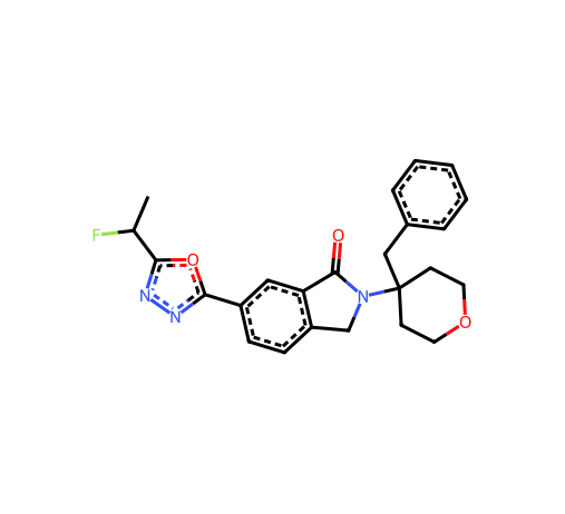 CC(F)c1nnc(-c2ccc3c(c2)C(=O)N(C2(Cc4ccccc4)CCOCC2)C3)o1